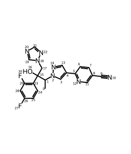 CC(n1cc(-c2ccc(C#N)cn2)cn1)C(O)(Cn1cncn1)c1ccc(F)cc1F